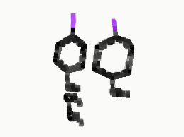 CC.CC(C)(C)c1ccc(I)cc1.CC(C)(C)c1ccc(I)cc1